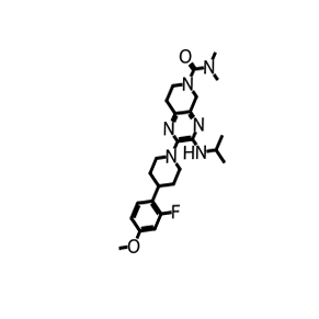 COc1ccc(C2CCN(c3nc4c(nc3NC(C)C)CN(C(=O)N(C)C)CC4)CC2)c(F)c1